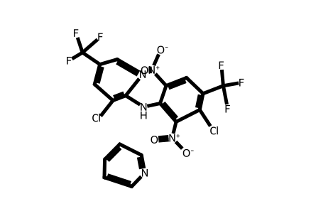 O=[N+]([O-])c1cc(C(F)(F)F)c(Cl)c([N+](=O)[O-])c1Nc1ncc(C(F)(F)F)cc1Cl.c1ccncc1